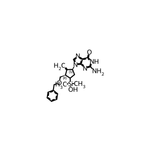 C=C1[C@H](COCc2ccccc2)C([Si](C)(C)O)C[C@@H]1n1cnc2c(=O)[nH]c(N)nc21